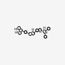 C1=CNC2C(=C1)C(c1ccc(C3=CC4NC(c5ccc6ccc(C7C=C(c8ccccc8)N=C(c8ccccc8)N7)nc6c5)=CC=C4C=C3)cc1)=CC1=C2NCC=C1